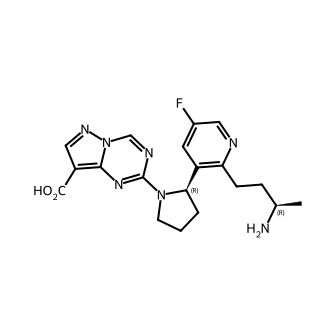 C[C@@H](N)CCc1ncc(F)cc1[C@H]1CCCN1c1ncn2ncc(C(=O)O)c2n1